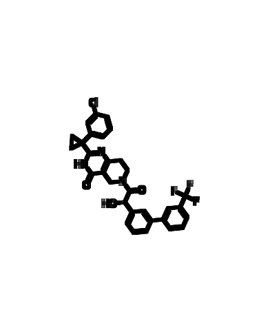 O=C([C@H](O)c1cccc(-c2cccc(C(F)(F)F)c2)c1)N1CCc2nc(C3(c4cccc(Cl)c4)CC3)[nH]c(=O)c2C1